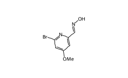 COc1cc(Br)nc(/C=N/O)c1